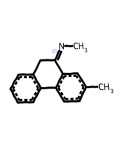 C/N=C1/Cc2ccccc2-c2ccc(C)cc21